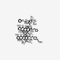 CC1(C)S[C@@H]2[C@H](NC(=O)COc3ccccc3)C(=O)N2[C@H]1C(=O)O.CN(C)[C@@H]1C(O)=C(C(=O)NCN2CCCC2)C(=O)[C@@]2(O)C(O)=C3C(=O)c4c(O)cccc4[C@@](C)(O)[C@H]3C[C@@H]12.CN(C)[C@@H]1C(O)=C(C(=O)NCN2CCN(CCO)CC2)C(=O)[C@@]2(O)C(O)=C3C(=O)c4c(O)cccc4[C@@](C)(O)C3C[C@@H]12